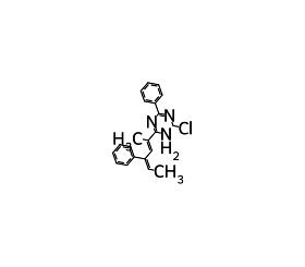 C\C=C(/C=C(C)/C(N)=N/C(=N\CCl)c1ccccc1)c1ccccc1